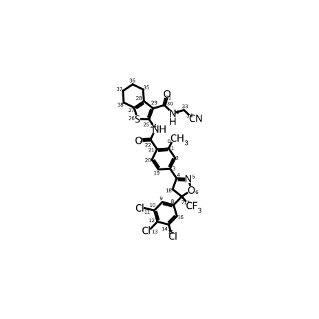 Cc1cc(C2=NOC(c3cc(Cl)c(Cl)c(Cl)c3)(C(F)(F)F)C2)ccc1C(=O)Nc1sc2c(c1C(=O)NCC#N)CCCC2